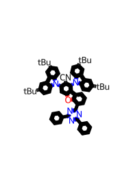 CC(C)(C)c1ccc2c(c1)c1cc(C(C)(C)C)ccc1n2-c1cc2oc3c(-c4nc(-c5ccccc5)nc(-c5ccccc5)n4)cccc3c2c(-n2c3ccc(C(C)(C)C)cc3c3cc(C(C)(C)C)ccc32)c1C#N